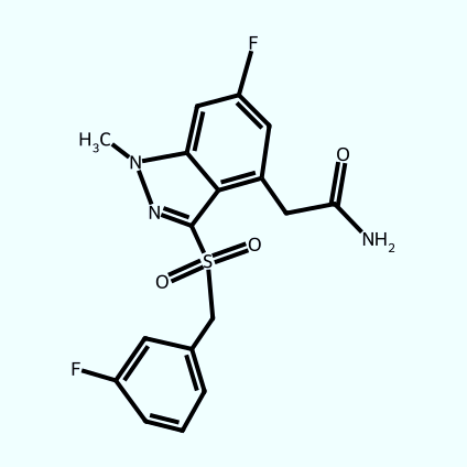 Cn1nc(S(=O)(=O)Cc2cccc(F)c2)c2c(CC(N)=O)cc(F)cc21